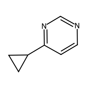 c1cc(C2CC2)ncn1